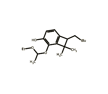 CCOC(C)Oc1c(O)ccc2c1C(C)(C)C2CC(C)(C)C